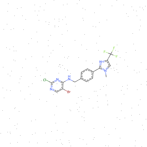 Cn1cc(C(F)(F)F)nc1-c1ccc(CNc2nc(Cl)ncc2Br)cc1